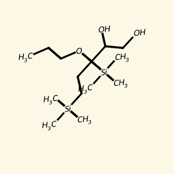 CCCOC(CC[Si](C)(C)C)(C(O)CO)[Si](C)(C)C